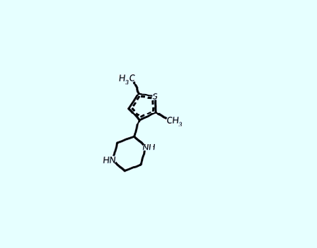 Cc1cc(C2CNCCN2)c(C)s1